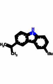 C=C(C)c1ccc2[nH]c3ccc(C(C)(C)C)cc3c2c1